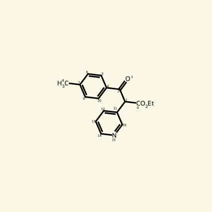 CCOC(=O)C(C(=O)c1ccc(C)cc1)c1cccnc1